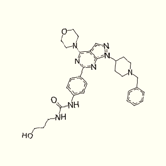 O=C(NCCCO)Nc1ccc(-c2nc(N3CCOCC3)c3cnn(C4CCN(Cc5ccccc5)CC4)c3n2)cc1